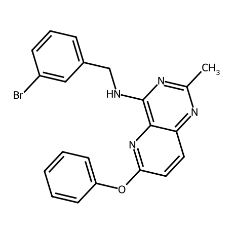 Cc1nc(NCc2cccc(Br)c2)c2nc(Oc3ccccc3)ccc2n1